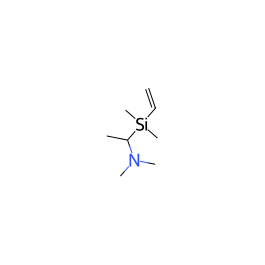 C=C[Si](C)(C)C(C)N(C)C